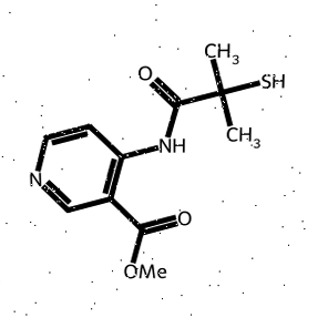 COC(=O)c1cnccc1NC(=O)C(C)(C)S